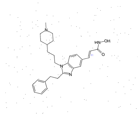 CN1CCC(CCCn2c(CCc3ccccc3)nc3cc(/C=C/C(=O)NO)ccc32)CC1